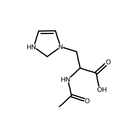 CC(=O)NC(CN1C=CNC1)C(=O)O